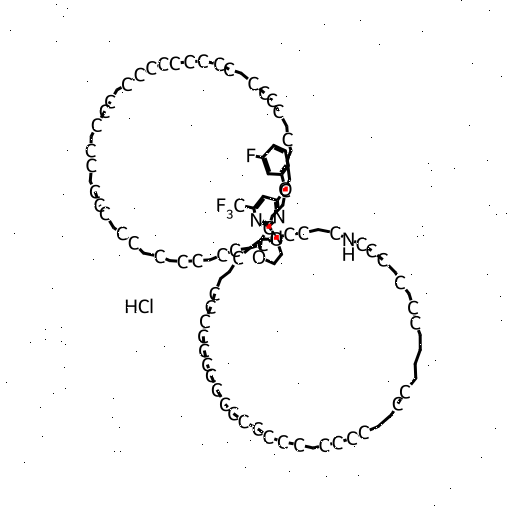 Cl.Fc1cccc(Oc2cc(C(F)(F)F)nc(N3CCCCNCCCCCCCCCCCCCCCCCCCCCCCCCCCCCCCCCCCCCCCC4(CCCCCCCCCCCCCCCCCCCCCCCCCCCCCCCCCCCCCCCCCCCCCC45OCCO5)C3)n2)c1